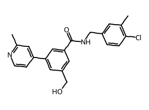 Cc1cc(-c2cc(CO)cc(C(=O)NCc3ccc(Cl)c(C)c3)c2)ccn1